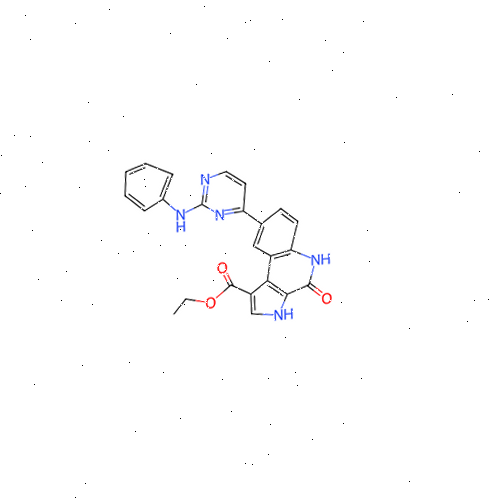 CCOC(=O)c1c[nH]c2c(=O)[nH]c3ccc(-c4ccnc(Nc5ccccc5)n4)cc3c12